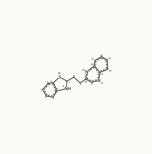 c1ccc2c(c1)NC(CCc1cnc3ccccc3n1)S2